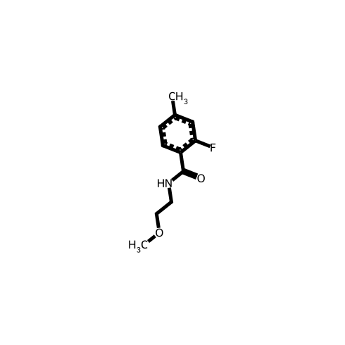 COCCNC(=O)c1ccc(C)cc1F